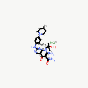 CCC1CCN(c2ccc(Nc3ncc4c(=O)c(C(N)=O)c(N)n(CC(C)(C)O)c4n3)c(OC)c2)CC1.Cl